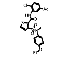 CCOc1ccc(N(C)S(=O)(=O)c2ccsc2C(=O)Nc2cc(C(C)=O)ccc2Cl)cc1